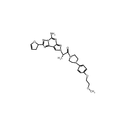 COCCOc1ccc(N2CCN(C(=O)[C@@H](C)n3cc4c(nc(N)n5nc(C6CC=CO6)nc45)n3)CC2)cc1